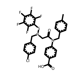 Cc1ccc(CN(C(=O)CN(Cc2ccc(Cl)cc2)Sc2c(F)c(F)c(F)c(F)c2F)c2ccc(C(=O)O)cc2)cc1